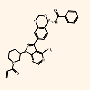 C=CC(=O)N1CCCC(n2nc(-c3ccc4c(c3)OCO[C@H]4NC(=O)c3ccccc3)c3c(N)ncnc32)C1